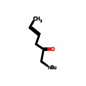 CC=CCC(=O)CCCCC